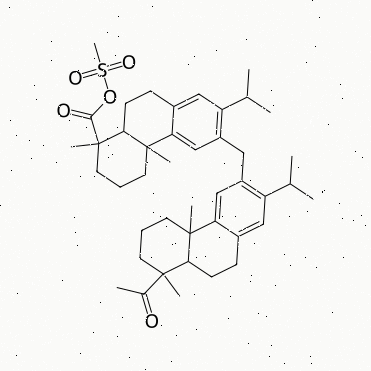 CC(=O)C1(C)CCCC2(C)c3cc(Cc4cc5c(cc4C(C)C)CCC4C(C)(C(=O)OS(C)(=O)=O)CCCC54C)c(C(C)C)cc3CCC12